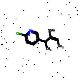 CN/C(=C/[N+](=O)[O-])C(C)c1ccc(Cl)nc1